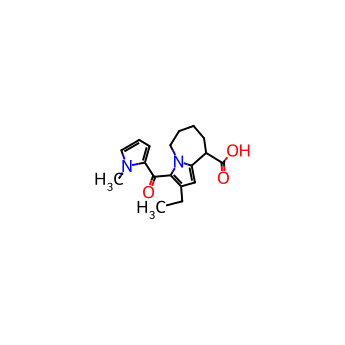 CCc1cc2n(c1C(=O)c1cccn1C)CCCCC2C(=O)O